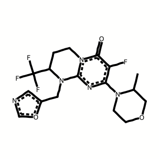 CC1COCCN1c1nc2n(c(=O)c1F)CCC(C(F)(F)F)N2Cc1cnco1